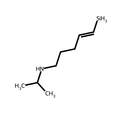 CC(C)NCCCC=C[SiH3]